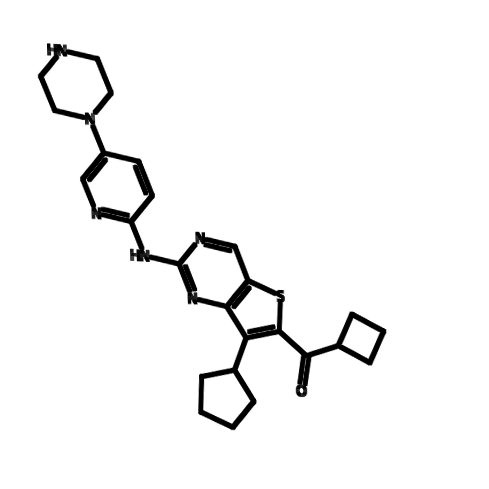 O=C(c1sc2cnc(Nc3ccc(N4CCNCC4)cn3)nc2c1C1CCCC1)C1CCC1